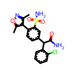 Cc1noc(C)c1-c1ccc(C(C(N)=O)c2ccccc2Cl)cc1S(N)(=O)=O